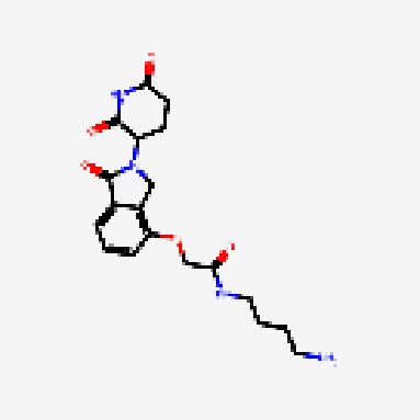 NCCCCNC(=O)COc1cccc2c1CN(C1CCC(=O)NC1=O)C2=O